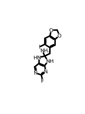 NC1(Cc2cc3c(cc2I)OCO3)Nc2cnc(F)nc2N1